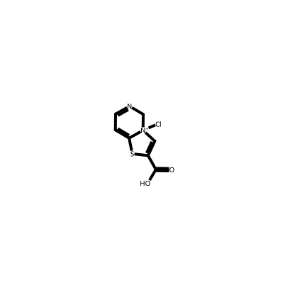 O=C(O)C1=C[N+]2(Cl)CN=CC=C2S1